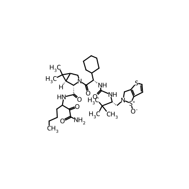 CCCCC(NC(=O)[C@@H]1[C@@H]2C(CN1C(=O)[C@@H](NC(=O)N[C@H](CN1Cc3sccc3[S+]1[O-])C(C)(C)C)C1CCCCC1)C2(C)C)C(=O)C(N)=O